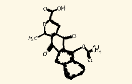 CC(=O)Oc1c2c(cc3ccccc13)C(=O)C1=C(CC(C(=O)O)OC1C)C2=O